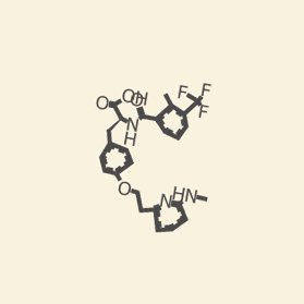 CNc1cccc(CCOc2ccc(C[C@H](NC(=O)c3cccc(C(F)(F)F)c3C)C(=O)O)cc2)n1